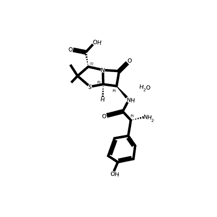 CC1(C)S[C@@H]2[C@H](NC(=O)[C@H](N)c3ccc(O)cc3)C(=O)N2[C@H]1C(=O)O.O